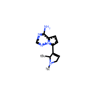 [2H]N1CC=C(c2ccc3c(N)ncnn23)C1C(C)(C)C